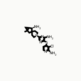 CC12CC1[C@@H](N)C1(CCN(c3cnc(Sc4ccnc(N)c4Cl)c(N)n3)CC1)C2